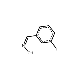 O/N=C\c1[c]ccc(F)c1